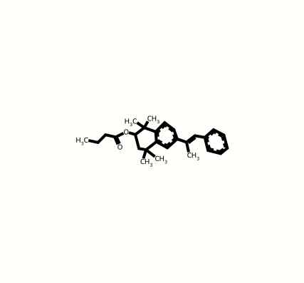 CCCC(=O)OC1CC(C)(C)c2cc(C(C)=Cc3ccccc3)ccc2C1(C)C